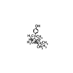 CNC(C(=O)NC(C)C(C)(C)C)C(C)(C)c1ccc(O)cc1